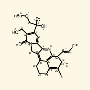 CCCCOCC(O)(CC)c1cc2n(c(=O)c1CO)Cc1c-2nc2c3c1CCCC3=C(C)[C@@H](C)C2/C=C/F